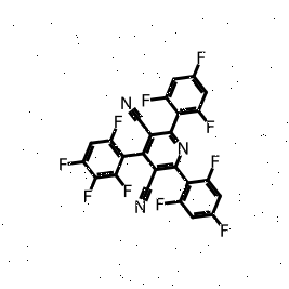 N#Cc1c(-c2c(F)cc(F)cc2F)nc(-c2c(F)cc(F)cc2F)c(C#N)c1-c1c(F)cc(F)c(F)c1F